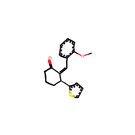 COc1ccccc1C=C1C(=O)CCCC1c1cccs1